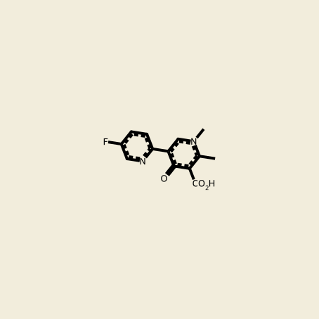 Cc1c(C(=O)O)c(=O)c(-c2ccc(F)cn2)cn1C